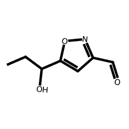 CCC(O)c1cc(C=O)no1